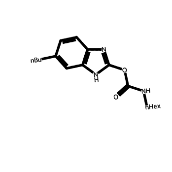 CCCCCCNC(=O)Oc1nc2ccc(CCCC)cc2[nH]1